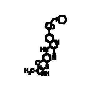 Cc1c[nH]c(Sc2ccc(Nc3c(C#N)cnc4cc(-c5ccc(CN6CCCCC6)o5)ccc34)cc2Cl)n1